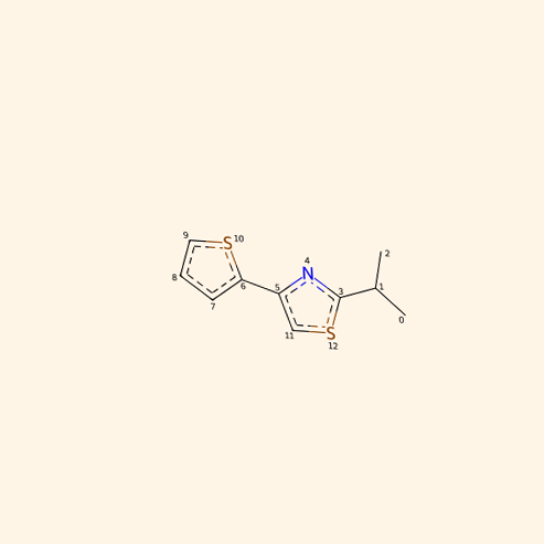 CC(C)c1nc(-c2cccs2)cs1